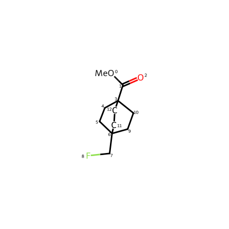 COC(=O)C12CCC(CF)(CC1)CC2